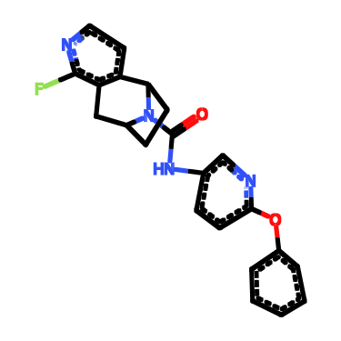 O=C(Nc1ccc(Oc2ccccc2)nc1)N1C2CCC1c1ccnc(F)c1C2